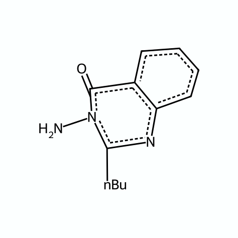 CCCCc1nc2ccccc2c(=O)n1N